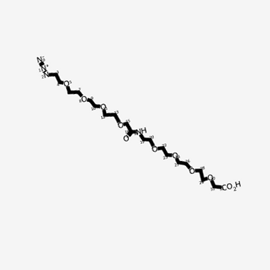 [N-]=[N+]=NCCOCCOCCOCCOCC(=O)NCCOCCOCCOCCOCC(=O)O